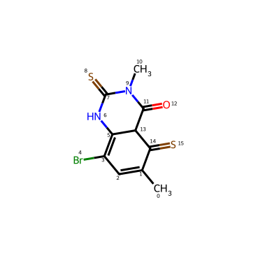 CC1=CC(Br)=C2NC(=S)N(C)C(=O)C2C1=S